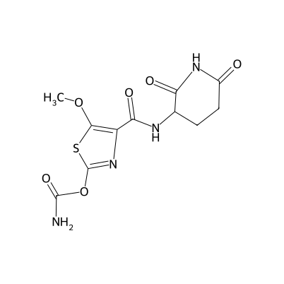 COc1sc(OC(N)=O)nc1C(=O)NC1CCC(=O)NC1=O